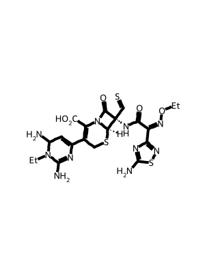 CCO/N=C(\C(=O)N[C@@]1(C=S)C(=O)N2C(C(=O)O)=C(C3=CC(N)N(CC)C(N)=N3)CS[C@@H]21)c1nsc(N)n1